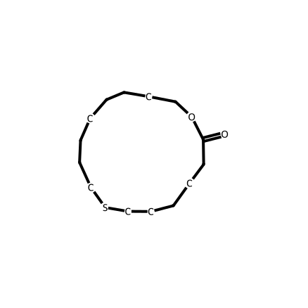 O=C1CCCCCSCCCCCCCCO1